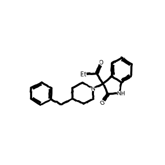 CCC(=O)C1(N2CCC(Cc3ccccc3)CC2)C(=O)Nc2ccccc21